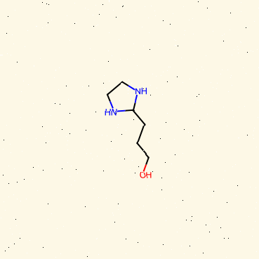 OCCCC1NCCN1